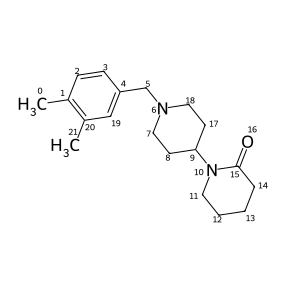 Cc1ccc(CN2CCC(N3CCCCC3=O)CC2)cc1C